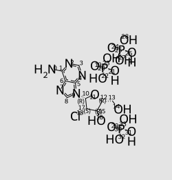 Nc1ncnc2c1ncn2[C@@H]1O[C@H](CO)[C@@H](O)[C@@H]1Cl.O=P(O)(O)O.O=P(O)(O)O.O=P(O)(O)O